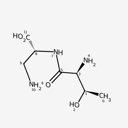 C[C@@H](O)[C@H](N)C(=O)N[C@H](CN)C(=O)O